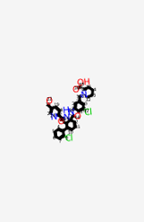 CC1C(c2ccccc2Cl)=CC=CC1(NC(=O)c1ccc(C=O)cn1)c1nc2cc(CN3CCCC[C@H]3C(=O)O)cc(Cl)c2o1